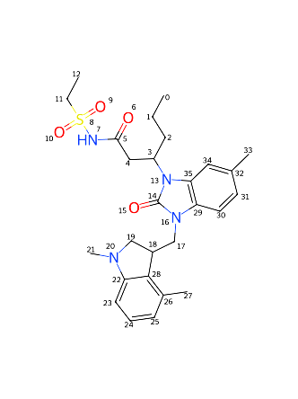 CCCC(CC(=O)NS(=O)(=O)CC)n1c(=O)n(CC2CN(C)c3cccc(C)c32)c2ccc(C)cc21